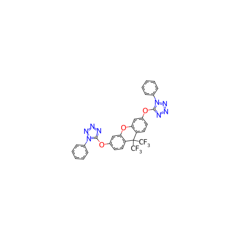 FC(F)(F)C1(C(F)(F)F)c2ccc(Oc3nnnn3-c3ccccc3)cc2Oc2cc(Oc3nnnn3-c3ccccc3)ccc21